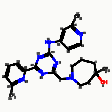 OC1(C(F)(F)F)CCCN(Cc2nc(Nc3ccnc(C(F)(F)F)c3)nc(-c3cccc(C(F)(F)F)n3)n2)CC1